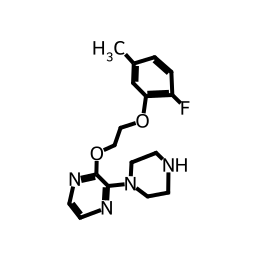 Cc1ccc(F)c(OCCOc2nccnc2N2CCNCC2)c1